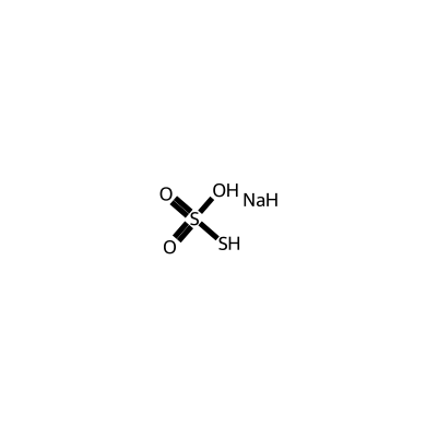 O=S(=O)(O)S.[NaH]